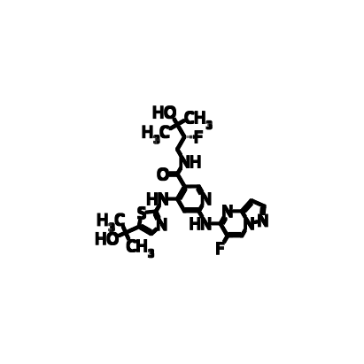 CC(C)(O)c1cnc(Nc2cc(Nc3nc4ccnn4cc3F)ncc2C(=O)NC[C@@H](F)C(C)(C)O)s1